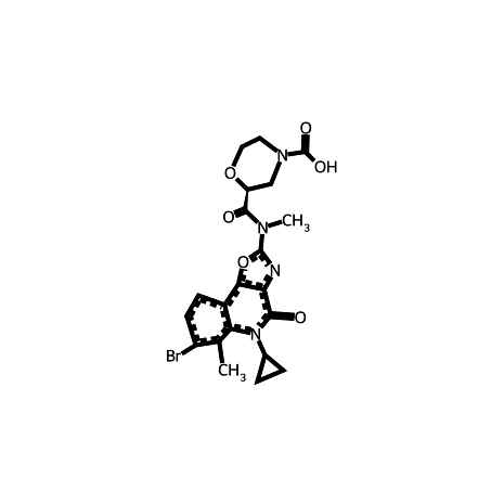 Cc1c(Br)ccc2c3oc(N(C)C(=O)[C@@H]4CN(C(=O)O)CCO4)nc3c(=O)n(C3CC3)c12